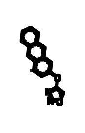 [c]1cc(Oc2conn2)cc2cc3ccccc3cc12